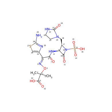 CC(C)(O/N=C(\C(=O)N[C@@H]1C(=O)N(S(=O)(=O)O)[C@@H]1CN1CCNC1=O)c1csc(N)n1)C(=O)O